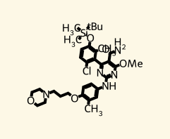 COc1nc(Nc2ccc(OCCCN3CCOCC3)c(C)c2)nc(-c2c(Cl)ccc(O[Si](C)(C)C(C)(C)C)c2C)c1C(N)=O